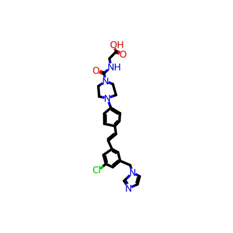 O=C(O)CNC(=O)N1CCN(c2ccc(/C=C/c3cc(Cl)cc(Cn4ccnc4)c3)cc2)CC1